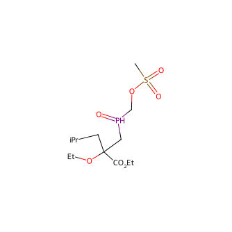 CCOC(=O)C(CC(C)C)(C[PH](=O)COS(C)(=O)=O)OCC